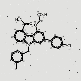 Cc1cccc(Cn2c3cc(-c4ccc(Cl)cc4)cc(OCC(=O)O)c3c3c(C(N)=O)cccc32)c1